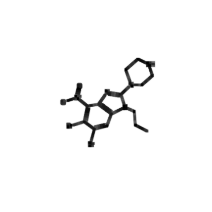 CCCn1c(N2CCNCC2)nc2c([N+](=O)[O-])c(Br)c(Br)cc21